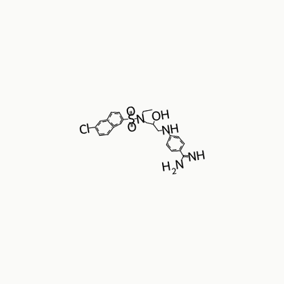 CCN(CC(O)CNc1ccc(C(=N)N)cc1)S(=O)(=O)c1ccc2cc(Cl)ccc2c1